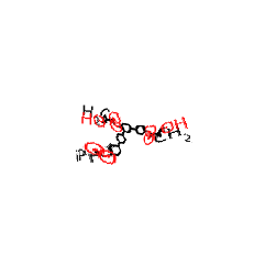 C=C(CO)C(=O)Oc1ccc(-c2ccc(OC(=O)C(=C)CO)c(C3CCC(C4CCC(OC(=O)C(C)C)CC4)CC3)c2)cc1